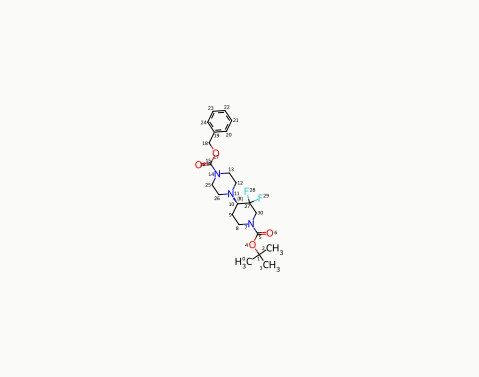 CC(C)(C)OC(=O)N1CC[C@@H](N2CCN(C(=O)OCc3ccccc3)CC2)C(F)(F)C1